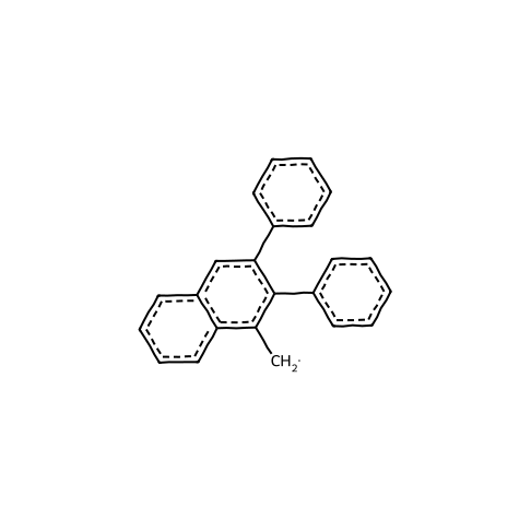 [CH2]c1c(-c2ccccc2)c(-c2ccccc2)cc2ccccc12